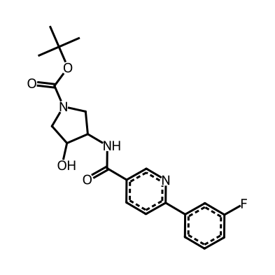 CC(C)(C)OC(=O)N1CC(O)C(NC(=O)c2ccc(-c3cccc(F)c3)nc2)C1